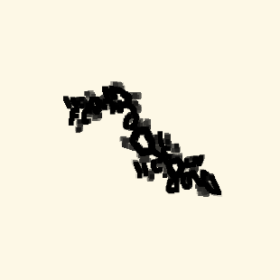 CC(C)(c1ccc(OCc2ccnc(N3CC(O)(C(F)(F)F)C3)n2)cc1)c1cc(Cl)c(OCCCl)c(C#N)c1